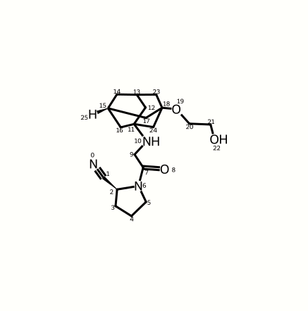 N#C[C@@H]1CCCN1C(=O)CNC12CC3C[C@@H](C1)CC(OCCO)(C3)C2